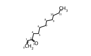 C=CC(=O)CCCCCCCCC